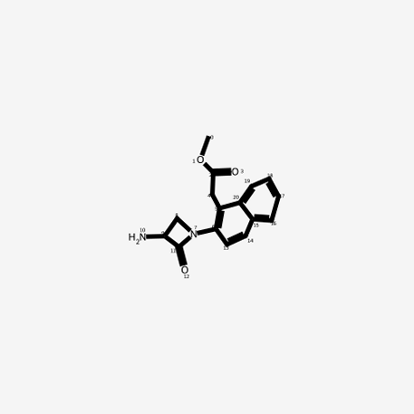 COC(=O)Cc1c(N2CC(N)C2=O)ccc2ccccc12